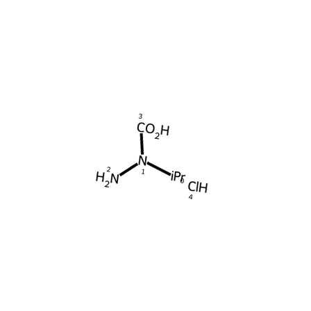 CC(C)N(N)C(=O)O.Cl